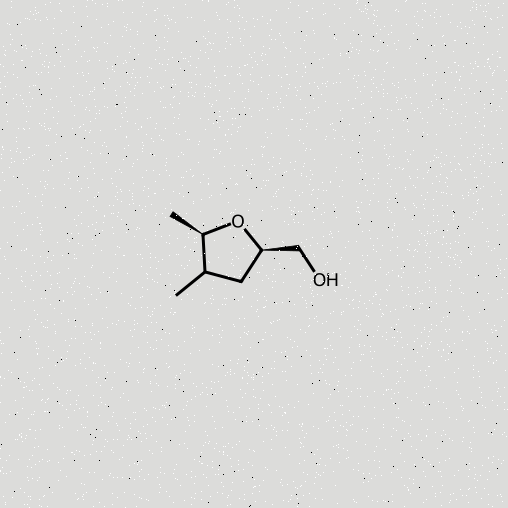 CC1C[C@H](CO)O[C@@H]1C